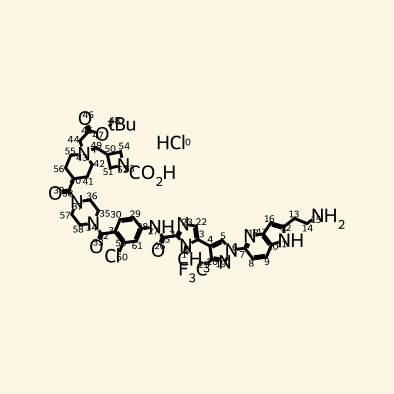 Cl.Cn1c(-c2cn(-c3ccc4[nH]c(CCN)cc4n3)nc2C(F)(F)F)cnc1C(=O)Nc1ccc(C(=O)N2CCN(C(=O)C3CC[N+](CC(=O)OC(C)(C)C)(CC4CN(C(=O)O)C4)CC3)CC2)c(Cl)c1